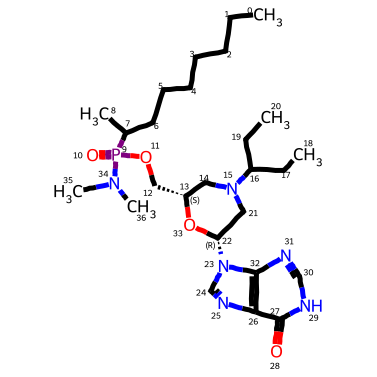 CCCCCCCC(C)P(=O)(OC[C@@H]1CN(C(CC)CC)C[C@H](n2cnc3c(=O)[nH]cnc32)O1)N(C)C